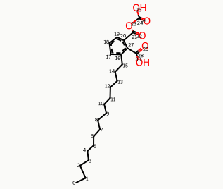 CCCCCCCCCCCCCCCCc1cccc(C(=O)OC(=O)O)c1C(=O)O